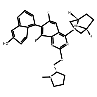 CN1CCC[C@H]1COc1nc(N2C[C@H]3CC[C@@H](C2)N3)c2cc(Cl)c(-c3cccc4cc(O)ccc34)c(F)c2n1